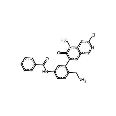 Cn1c(=O)c(-c2cc(NC(=O)c3ccccc3)ccc2CN)cc2cnc(Cl)cc21